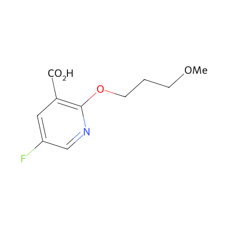 COCCCOc1ncc(F)cc1C(=O)O